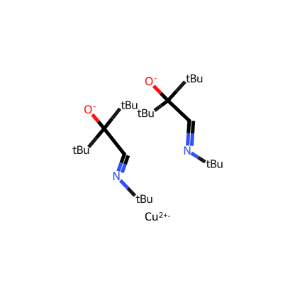 CC(C)(C)N=CC([O-])(C(C)(C)C)C(C)(C)C.CC(C)(C)N=CC([O-])(C(C)(C)C)C(C)(C)C.[Cu+2]